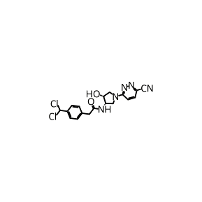 N#Cc1ccc(N2C[C@H](NC(=O)Cc3ccc(C(Cl)Cl)cc3)[C@@H](O)C2)nn1